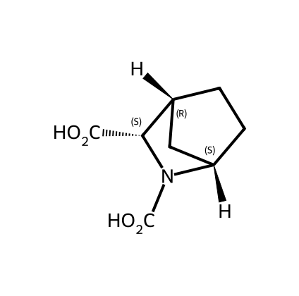 O=C(O)[C@@H]1[C@@H]2CC[C@@H](C2)N1C(=O)O